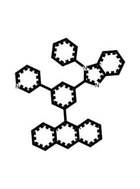 c1ccc(-n2c(-c3cc(-c4cccnc4)cc(-c4c5ccccc5cc5ccccc45)c3)nc3ccccc32)cc1